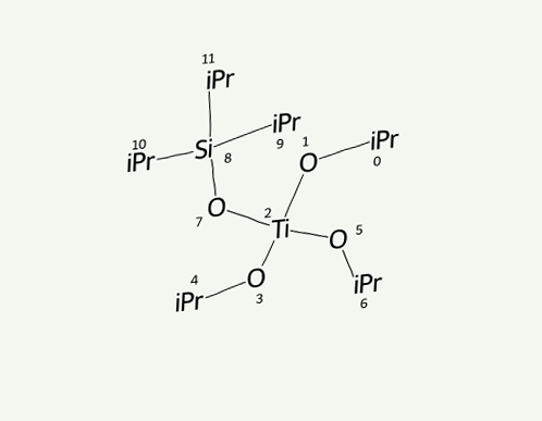 CC(C)[O][Ti]([O]C(C)C)([O]C(C)C)[O][Si](C(C)C)(C(C)C)C(C)C